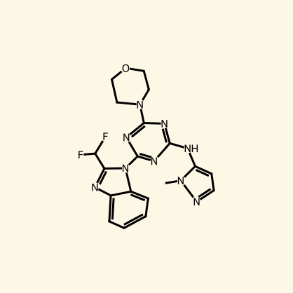 Cn1nccc1Nc1nc(N2CCOCC2)nc(-n2c(C(F)F)nc3ccccc32)n1